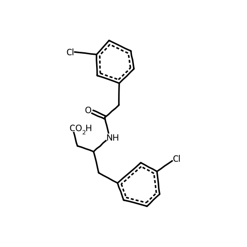 O=C(O)CC(Cc1cccc(Cl)c1)NC(=O)Cc1cccc(Cl)c1